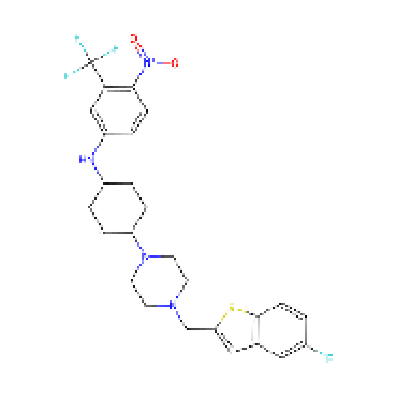 O=[N+]([O-])c1ccc(NC2C[CH]C(N3CCN(Cc4cc5cc(F)ccc5s4)CC3)CC2)cc1C(F)(F)F